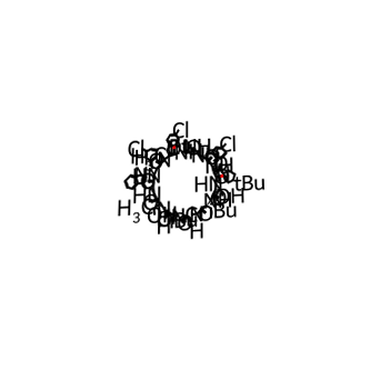 CC[C@H](C)[C@@H]1NC(=O)CNC(=O)[C@H]([C@@H](C)CC)NC(=O)[C@H](CO)NC(=O)C(C(=O)N2CCC(C(C)(C)C)CC2)NC(=O)[C@H](Cc2cccc(Cl)c2)NC(=O)[C@](N)(CC)NC(=O)[C@H](Cc2ccc(Cl)cc2)N(C)C(=O)[C@H](Cc2cccc(Cl)c2)NC(=O)[C@H](Cc2c[nH]c3ccccc23)NC(=O)[C@H]([C@@H](C)O)NC1=O